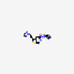 O=C(N[C@H]1CN2CCC1CC2)c1cc2c(C#CCn3cccn3)csc2cn1